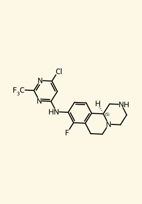 Fc1c(Nc2cc(Cl)nc(C(F)(F)F)n2)ccc2c1CCN1CCNC[C@H]21